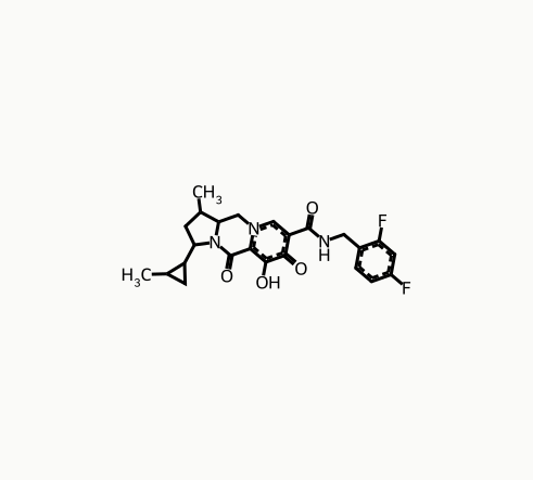 CC1CC1C1CC(C)C2Cn3cc(C(=O)NCc4ccc(F)cc4F)c(=O)c(O)c3C(=O)N21